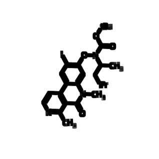 Cc1nccc2c1c(=O)n(C)c1cc(ON(C(=O)OC(C)(C)C)C(C)CC(C)C)c(I)cc21